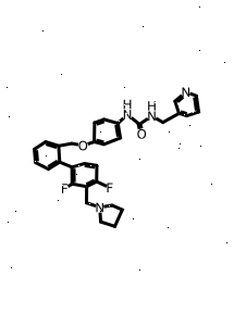 O=C(NCc1cccnc1)Nc1ccc(OCc2ccccc2-c2ccc(F)c(CN3CCCC3)c2F)cc1